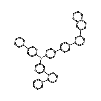 c1ccc(-c2ccc(N(c3ccc(-c4ccc(-c5cccc(-c6ccc7ccccc7c6)c5)cc4)cc3)c3cccc(-c4ccccc4-c4ccccc4)c3)cc2)cc1